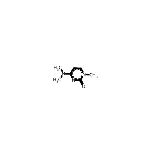 CN(C)c1ccn(C)c(=O)n1